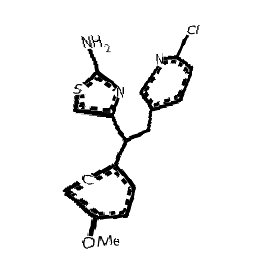 COc1ccc(C(Cc2ccc(Cl)nc2)c2csc(N)n2)cc1